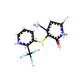 Nc1cc(F)[nH]c(=O)c1Sc1cccnc1C(F)(F)F